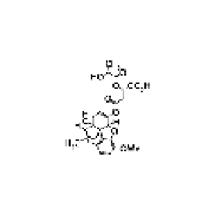 COc1ccc2c3c1O[C@H]1C(OC(=O)C[C@H](OC(=O)[C@H](C)O)C(=O)O)=CC[C@@]4(O)[C@@H](C2)C(C)CC[C@]314